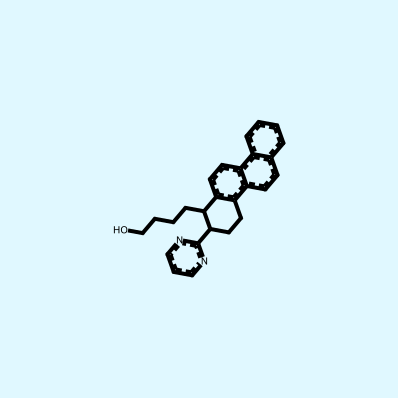 OCCCCC1c2ccc3c(ccc4ccccc43)c2CCC1c1ncccn1